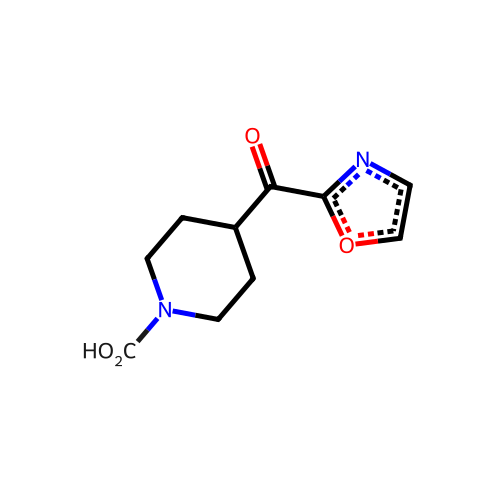 O=C(c1ncco1)C1CCN(C(=O)O)CC1